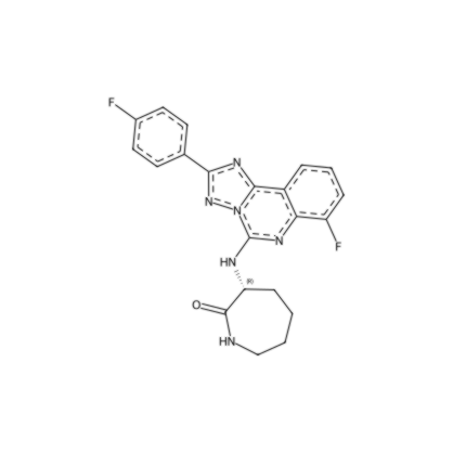 O=C1NCCCC[C@H]1Nc1nc2c(F)cccc2c2nc(-c3ccc(F)cc3)nn12